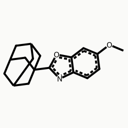 COc1ccc2nc(C34CC5CC(CC(C5)C3)C4)oc2c1